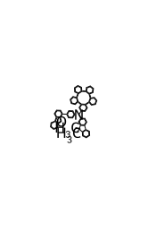 CC1(C)c2ccccc2-c2ccc(N(c3ccc(-c4cccc5c4oc4ccccc45)cc3)c3ccc4c5ccccc5c5ccccc5c5ccccc5c5ccccc5c4c3)cc21